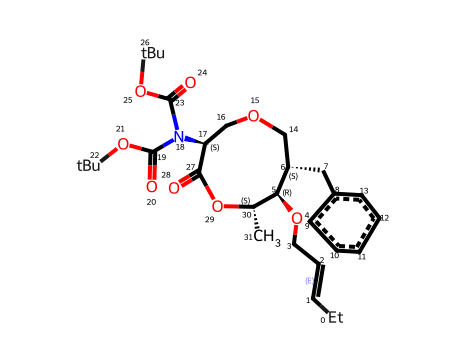 CC/C=C/CO[C@@H]1[C@@H](Cc2ccccc2)COC[C@H](N(C(=O)OC(C)(C)C)C(=O)OC(C)(C)C)C(=O)O[C@H]1C